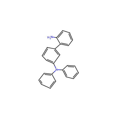 Nc1ccccc1-c1cccc(N(c2ccccc2)c2ccccc2)c1